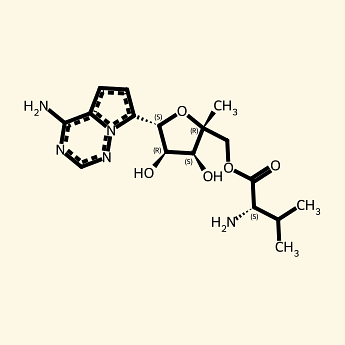 CC(C)[C@H](N)C(=O)OC[C@@]1(C)O[C@@H](c2ccc3c(N)ncnn23)[C@H](O)[C@@H]1O